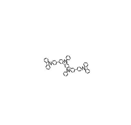 c1ccc(-n2c3ccc(-c4ccc(-n5c6ccccc6c6ccccc65)cc4)cc3c3cc4c(cc32)c2cc(-c3ccc(-n5c6ccccc6c6ccccc65)cc3)ccc2n4-c2ccccc2)cc1